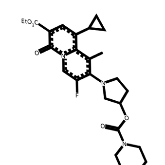 CCOC(=O)c1cc(C2CC2)c2c(C)c(N3CCC(OC(=O)N4CCNCC4)C3)c(F)cn2c1=O